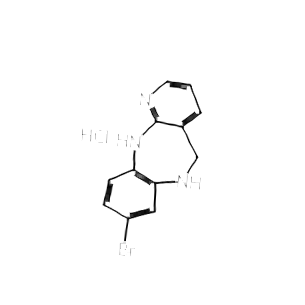 Brc1ccc2c(c1)NCc1cccnc1N2.Cl